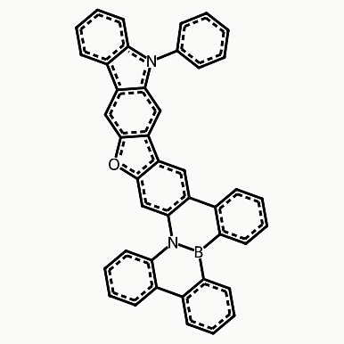 c1ccc(-n2c3ccccc3c3cc4oc5cc6c(cc5c4cc32)-c2ccccc2B2c3ccccc3-c3ccccc3N26)cc1